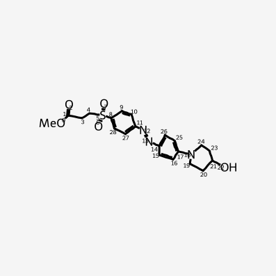 COC(=O)CCS(=O)(=O)c1ccc(N=Nc2ccc(N3CCC(O)CC3)cc2)cc1